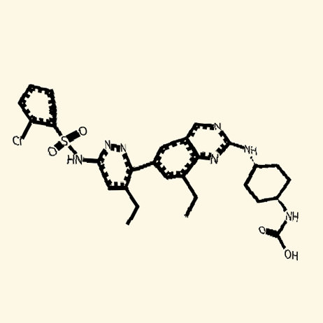 CCc1cc(NS(=O)(=O)c2ccccc2Cl)nnc1-c1cc(CC)c2nc(N[C@H]3CC[C@H](NC(=O)O)CC3)ncc2c1